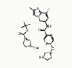 CC(C)(C)OC(=O)N1CC[C@H](O)C1.Cc1cn2cc(NC(=O)c3cnc(O[C@H]4CCNC4)cn3)cc(F)c2n1